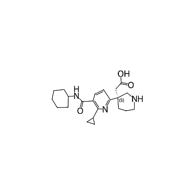 O=C(O)C[C@@]1(c2ccc(C(=O)NC3CCCCC3)c(C3CC3)n2)CCCNC1